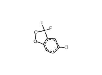 FC1(F)OOc2ccc(Cl)cc21